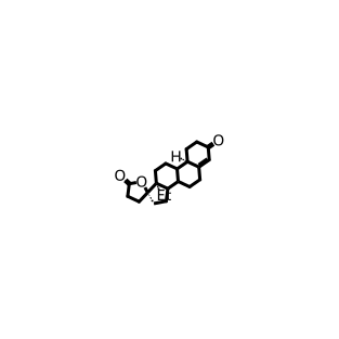 CC[C@]12CCC3C(CCC4=CC(=O)CC[C@@H]43)C1CC[C@@]21CCC(=O)O1